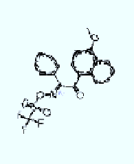 COc1ccc(C(=O)/C(=N/OS(=O)(=O)C(F)(F)F)c2ccccc2)c2ccccc12